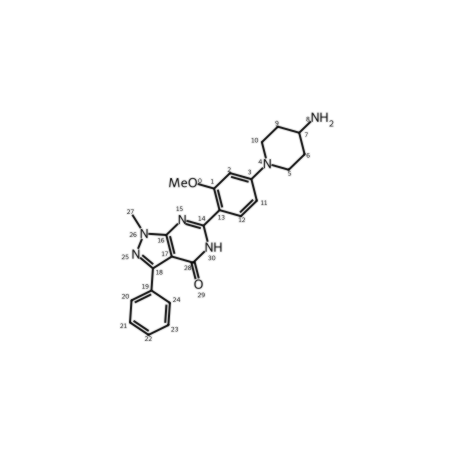 COc1cc(N2CCC(N)CC2)ccc1-c1nc2c(c(-c3ccccc3)nn2C)c(=O)[nH]1